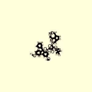 COc1ccc(C(OC[C@H]2O[C@@H](N3C=C4CCC5=C4C(=N3)C=NOC5)[C@H](O[Si](C)(C)C(C)(C)C)[C@@H]2O)(c2ccccc2)c2ccc(OC)cc2)cc1